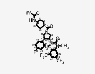 CC(C)C(=O)N[C@H]1CC[C@H](C(=O)N2C[C@@H](N(C)C(=O)N(C)c3cc(C(F)(F)F)cc(C(F)(F)F)c3)[C@H](c3ccc(F)cc3)C2)CC1